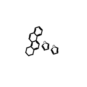 c1ccc2c(c1)ccc1c3c(ccc12)CCCC3.c1ccoc1.c1ccoc1